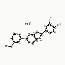 Cl.OCc1cccc(-c2ccc3nc(-c4ccc(F)c(F)c4)cn3c2)c1